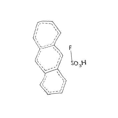 O=S(=O)(O)F.c1ccc2cc3ccccc3cc2c1